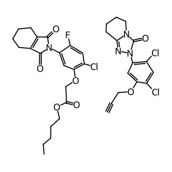 C#CCOc1cc(-n2nc3n(c2=O)CCCC3)c(Cl)cc1Cl.CCCCCOC(=O)COc1cc(N2C(=O)C3=C(CCCC3)C2=O)c(F)cc1Cl